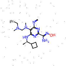 C=Nc1nc(/C(N)=N/O)nc(N[C@H](C)C2CCC2)c1N(C)CN(C)CC(C)C